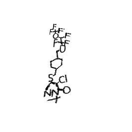 CC(C)(C)n1ncc(SCC2CCC(COC(F)(F)C(F)OC(F)(F)F)CC2)c(Cl)c1=O